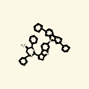 C=C1CC(c2ccccc2)=NC(C2=CCc3oc4cc(-n5c6cc(-c7ccccc7)ccc6c6ccc(-c7ccccc7)cc65)ccc4c32)=NC1c1ccccc1